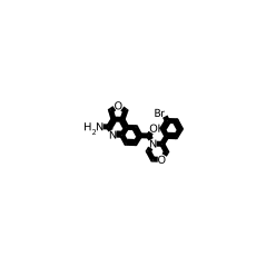 Nc1nc2ccc(C(O)N3CCOCC3c3cccc(Br)c3)cc2c2c1COC2